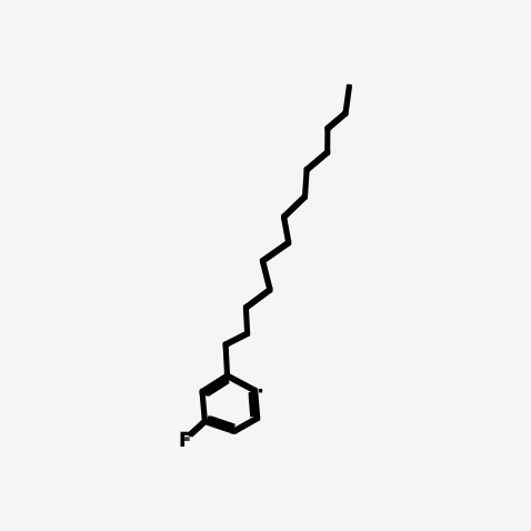 CCCCCCCCCCCCCc1[c]ccc(F)c1